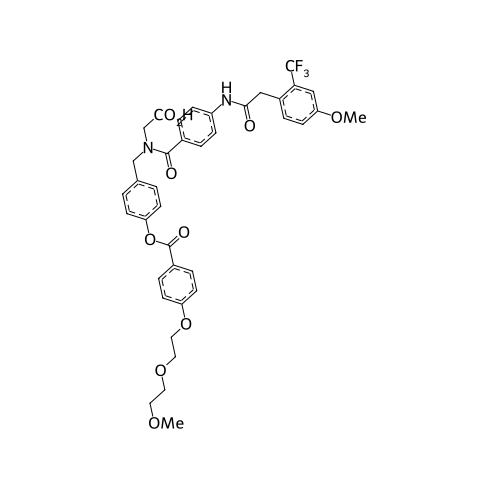 COCCOCCOc1ccc(C(=O)Oc2ccc(CN(CC(=O)O)C(=O)c3ccc(NC(=O)Cc4ccc(OC)cc4C(F)(F)F)cc3)cc2)cc1